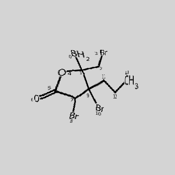 BC1(CBr)OC(=O)C(Br)C1(Br)CCC